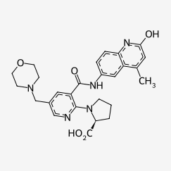 Cc1cc(O)nc2ccc(NC(=O)c3cc(CN4CCOCC4)cnc3N3CCC[C@H]3C(=O)O)cc12